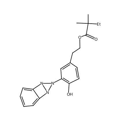 CCC(C)(C)C(=O)OCCc1ccc(O)c(-n2n3c4ccccc4n23)c1